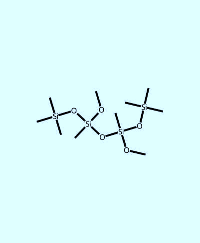 CO[Si](C)(O[Si](C)(C)C)O[Si](C)(OC)O[Si](C)(C)C